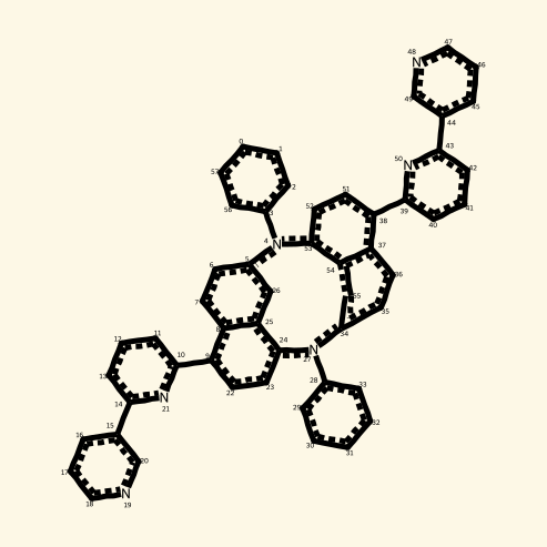 c1ccc(-n2c3ccc4c(-c5cccc(-c6cccnc6)n5)ccc(c4c3)n(-c3ccccc3)c3ccc4c(-c5cccc(-c6cccnc6)n5)ccc2c4c3)cc1